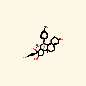 CC#CC1(O)C(O)C[C@H]2[C@@H]3CCC4=CC(=O)CCC4=C3C(c3ccc(C(C)(C)C)cc3)C[C@@]21C